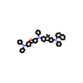 CC1(C)c2cc(N(c3ccccc3)c3ccc4c(c3)oc3cc(N(c5ccccc5)c5ccccc5)ccc34)ccc2-c2ccc(N(c3ccccc3)c3cccc4ccccc34)cc21